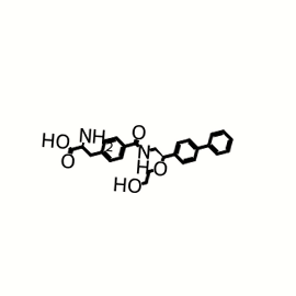 N[C@@H](Cc1ccc(C(=O)NC[C@H](OCCO)c2ccc(-c3ccccc3)cc2)cc1)C(=O)O